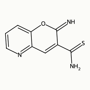 N=c1oc2cccnc2cc1C(N)=S